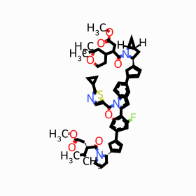 COC(=O)CC(C(=O)N1[C@@H]2C[C@@H]2C[C@H]1C1=CC=C(c2ccc3c(c2)cc2n3C(c3cnc(C4CC4)s3)Oc3cc(C4=CC=C([C@@H]5CCCN5C(=O)[C@@H](CC(=O)OC)C(C)C)C4)cc(F)c3-2)C1)C1CCOC(C)(C)C1